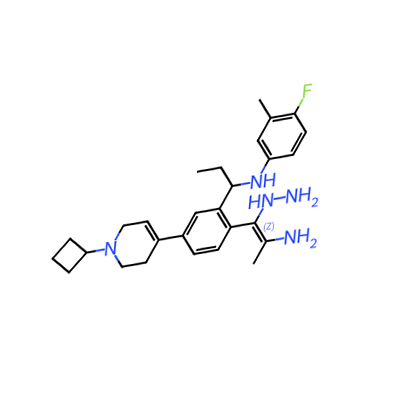 CCC(Nc1ccc(F)c(C)c1)c1cc(C2=CCN(C3CCC3)CC2)ccc1/C(NN)=C(\C)N